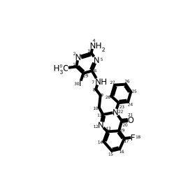 Cc1nc(N)nc(NCCCc2nc3cccc(F)c3c(=O)n2-c2ccccc2)c1I